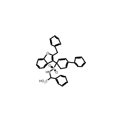 O=C(O)C(NS(=O)(=O)C1(c2c(Cc3ccccc3)oc3ccccc23)C=CC(c2ccccc2)=CC1)c1ccccc1